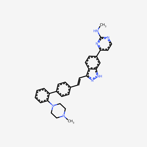 CNc1nccc(-c2ccc3c(C=Cc4ccc(-c5ccccc5N5CCN(C)CC5)cc4)n[nH]c3c2)n1